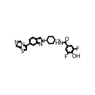 O=C(NC[C@H]1CC[C@H](n2cc3ccc(-c4csc5cncn45)cc3n2)CC1)c1cc(F)c(O)c(F)c1